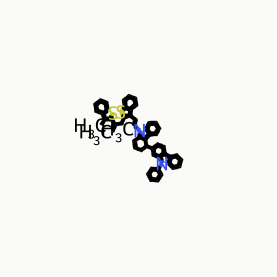 C/C=C(/Cc1sc2ccccc2c1/C=C(\C)n1c2c(c3ccccc31)C(c1ccc3c4ccccc4n(-c4ccccc4)c3c1)CC=C2)c1sc2ccccc2c1C